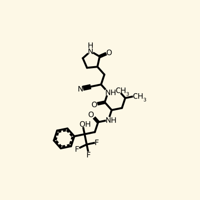 CC(C)CC(NC(=O)CC(O)(c1ccccc1)C(F)(F)F)C(=O)NC(C#N)CC1CCNC1=O